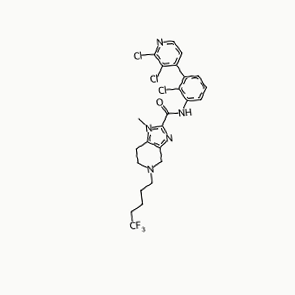 Cn1c(C(=O)Nc2cccc(-c3ccnc(Cl)c3Cl)c2Cl)nc2c1CCN(CCCCC(F)(F)F)C2